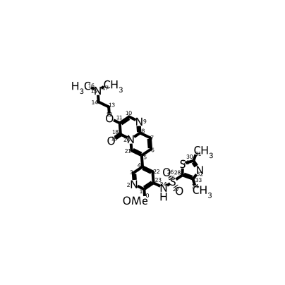 COc1ncc(-c2ccc3ncc(OCCN(C)C)c(=O)n3c2)cc1NS(=O)(=O)c1sc(C)nc1C